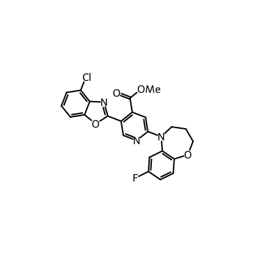 COC(=O)c1cc(N2CCCOc3ccc(F)cc32)ncc1-c1nc2c(Cl)cccc2o1